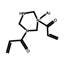 C=CC(=O)N1CNC[N+](C(C)=O)(C(=O)C=C)C1